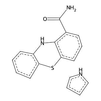 NC(=O)c1cccc2c1Nc1ccccc1S2.c1cc[nH]c1